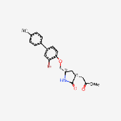 COC(=O)C[C@H]1C[C@@H](COc2ccc(-c3ccc(C#N)cc3)cc2Br)NC1=O